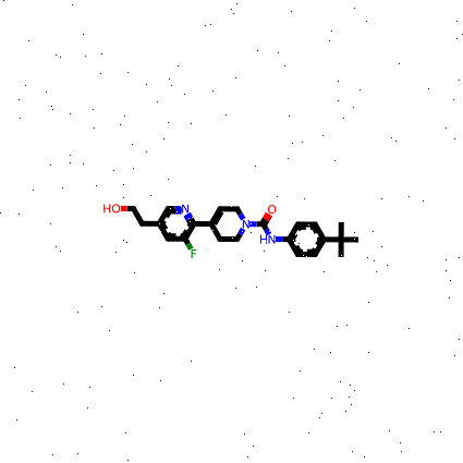 CC(C)(C)c1ccc(NC(=O)N2CC=C(c3ncc(CCO)cc3F)CC2)cc1